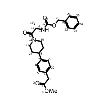 COC(=O)Cc1ccc(C2CCN(C(=O)[C@H](C)NC(=O)OCc3ccccc3)CC2)cc1